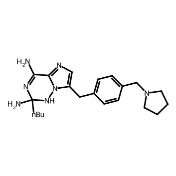 CCCCC1(N)N=C(N)c2ncc(Cc3ccc(CN4CCCC4)cc3)n2N1